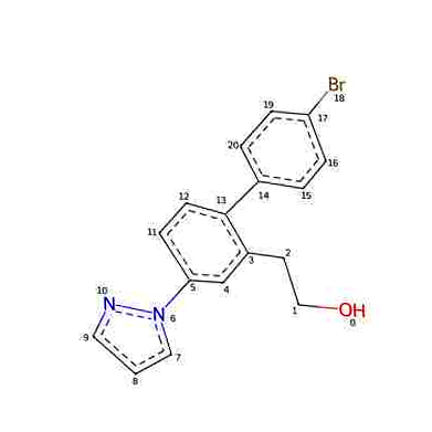 OCCc1cc(-n2cccn2)ccc1-c1ccc(Br)cc1